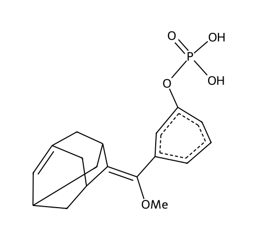 COC(=C1C2CC3=CC(C2)CC1C3)c1cccc(OP(=O)(O)O)c1